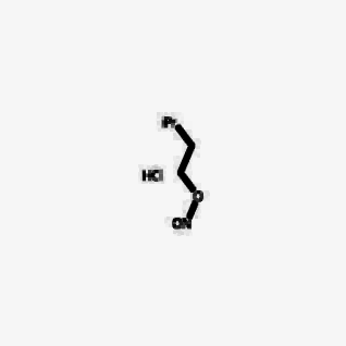 CC(C)CCON=O.Cl